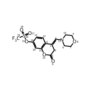 O=C1CC(=CN2CCOCC2)c2ccc(OS(=O)(=O)C(F)(F)F)cc2O1